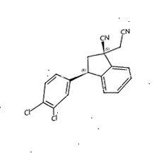 N#CC[C@@]1(C#N)C[C@H](c2ccc(Cl)c(Cl)c2)c2ccccc21